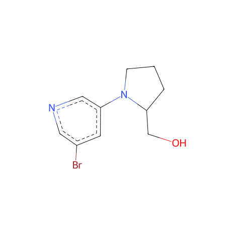 OCC1CCCN1c1cncc(Br)c1